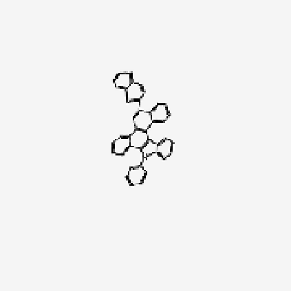 c1ccc(-n2c3ccccc3c3c4c5ccccc5c(-c5ccc6ccccc6c5)cc4c4ccccc4c32)cc1